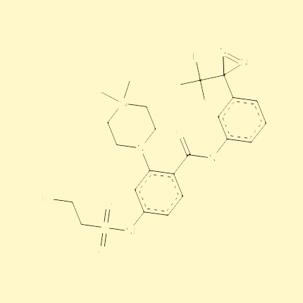 C[Si]1(C)CCN(c2cc(NS(=O)(=O)CCO)ccc2C(=O)Nc2cccc(C3(C(F)(F)F)N=N3)c2)CC1